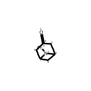 CC(C)N1C2CC(=O)CC1C2